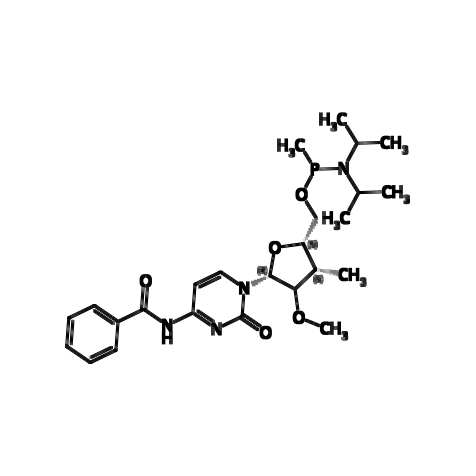 COC1[C@@H](C)[C@@H](COP(C)N(C(C)C)C(C)C)O[C@H]1n1ccc(NC(=O)c2ccccc2)nc1=O